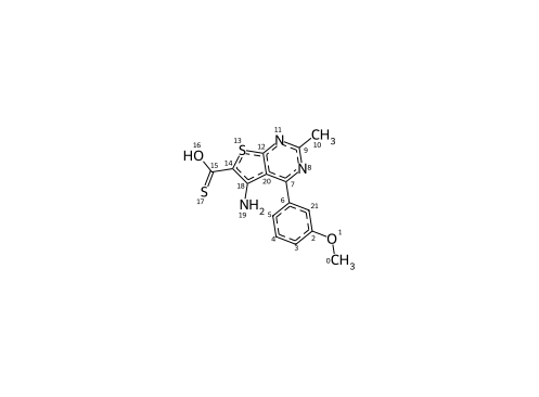 COc1cccc(-c2nc(C)nc3sc(C(O)=S)c(N)c23)c1